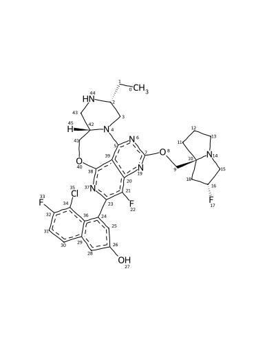 CC[C@@H]1CN2c3nc(OC[C@@]45CCCN4C[C@H](F)C5)nc4c(F)c(-c5cc(O)cc6ccc(F)c(Cl)c56)nc(c34)OC[C@@H]2CN1